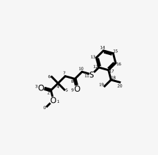 COC(=O)C(C)(C)CC(=O)CSc1ccccc1C(C)C